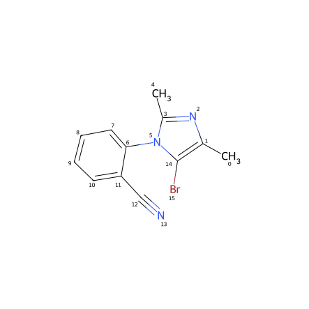 Cc1nc(C)n(-c2ccccc2C#N)c1Br